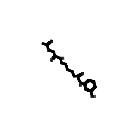 CC(=O)SCC(=O)NCCCCCC(=O)Nc1cccc(O)c1